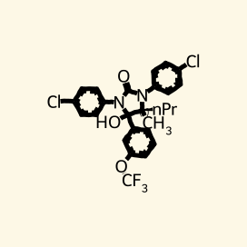 CCC[C@]1(C)N(c2ccc(Cl)cc2)C(=O)N(c2ccc(Cl)cc2)C1(O)c1cccc(OC(F)(F)F)c1